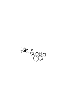 CC(C)(C)[Si](C)(C)OCc1cc(C2(O)CCCc3ccc(Cl)cc32)cs1